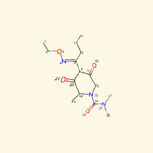 CCCC(=NOCC)C1C(=O)CN(C(=O)N(C)C)C(C)C1=O